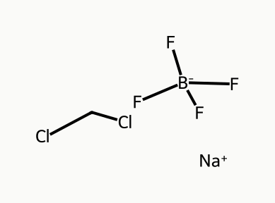 ClCCl.F[B-](F)(F)F.[Na+]